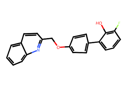 Oc1c(F)cccc1-c1ccc(OCc2ccc3ccccc3n2)cc1